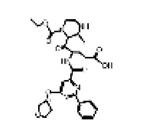 CCOC(=O)N1CCNC(C)C1C(=O)C(CCC(=O)O)NC(=O)c1cc(O[C@H]2CCOC2)nc(-c2ccccc2)n1